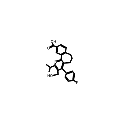 CC(C)c1nc2c(c(-c3ccc(F)cc3)c1CO)CCCc1ccc(C(=O)O)cc1-2